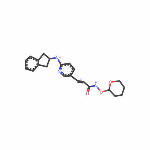 O=C(/C=C/c1ccc(NC2Cc3ccccc3C2)nc1)NOC1CCCCO1